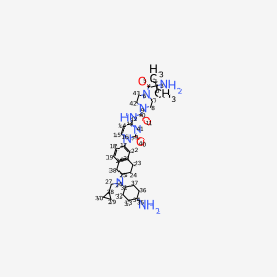 CC(C)(N)C(=O)N1CCN(C(=O)Nc2ccn(-c3ccc4c(c3)CCC(N(CC3CC3)[C@H]3CC[C@H](N)CC3)C4)c(=O)n2)CC1